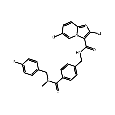 CCc1nc2ccc(Cl)cn2c1C(=O)NCc1ccc(C(=O)N(C)Cc2ccc(F)cc2)cc1